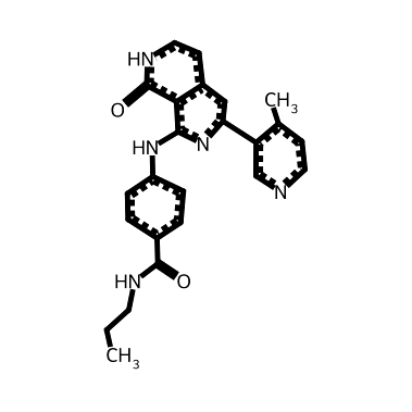 CCCNC(=O)c1ccc(Nc2nc(-c3cnccc3C)cc3cc[nH]c(=O)c23)cc1